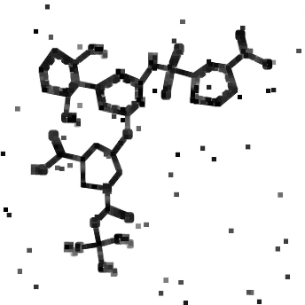 Cc1cccc(C)c1-c1cc(OC2CC(C(=O)O)CN(C(=O)OC(C)(C)C)C2)nc(NS(=O)(=O)c2cccc([N+](=O)[O-])c2)n1